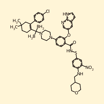 BC(B)(C1=C(c2ccc(Cl)cc2)CC(C)(C)CC1)N1CCN(c2ccc(C(=O)NSc3ccc(NCC4CCOCC4)c([N+](=O)[O-])c3)c(Oc3cnc4[nH]ccc4c3)c2)CC1